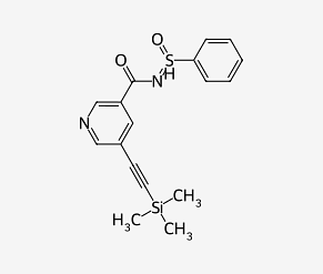 C[Si](C)(C)C#Cc1cncc(C(=O)N=[SH](=O)c2ccccc2)c1